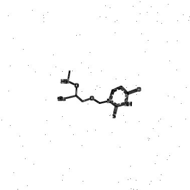 C[SiH](C)OC(COCn1ccc(=O)[nH]c1=S)C(C)(C)C